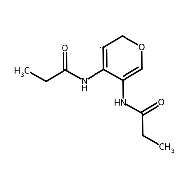 CCC(=O)NC1=[C]COC=C1NC(=O)CC